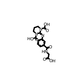 O=C(O)CNC(=O)c1cccc(N=C2N(C(=O)O)CCCN2C(=O)O)c1